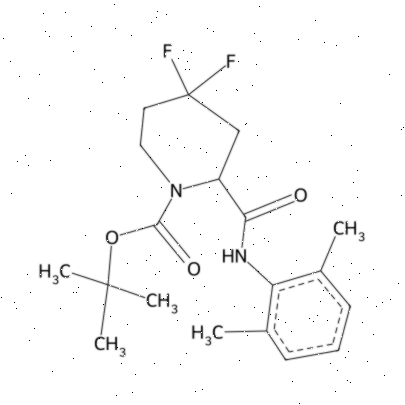 Cc1cccc(C)c1NC(=O)C1CC(F)(F)CCN1C(=O)OC(C)(C)C